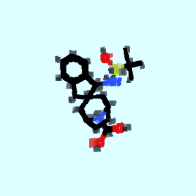 CC(C)(C)[S@@+]([O-])N[C@@H]1c2ccccc2CC12CC1CCC(C2)N1C(=O)O